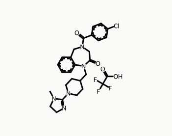 CN1CCN=C1N1CCC(CN2C(=O)CN(C(=O)c3ccc(Cl)cc3)Cc3ccccc32)CC1.O=C(O)C(F)(F)F